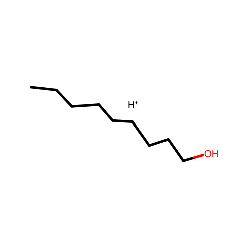 CCCCCCCCCO.[H+]